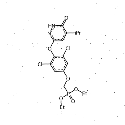 CCOP(=O)(COc1cc(Cl)c(Oc2cc(C(C)C)c(=O)[nH]n2)c(Cl)c1)OCC